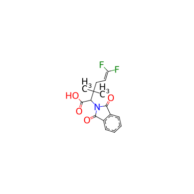 CC(C)(CC=C(F)F)C(C(=O)O)N1C(=O)c2ccccc2C1=O